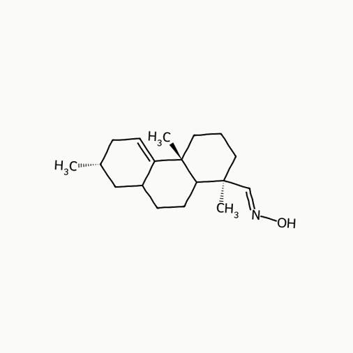 C[C@@H]1CC=C2C(CCC3[C@@]2(C)CCC[C@@]3(C)/C=N/O)C1